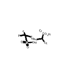 CCCCC(CC)C(=O)O.O=S(=O)(O)C(F)(F)F.[Cr]